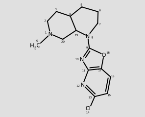 CN1CCC2CCCN(c3nc4nc(Cl)ccc4o3)C2C1